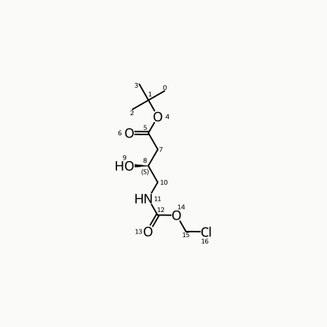 CC(C)(C)OC(=O)C[C@H](O)CNC(=O)OCCl